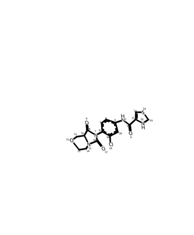 O=C(Nc1ccc(N2C(=O)C3COCCN3C2=O)c(Cl)c1)C1=CSCN1